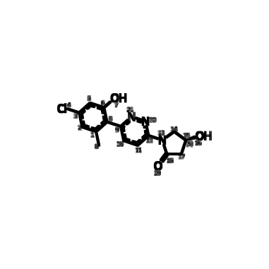 Cc1cc(Cl)cc(O)c1-c1ccc(N2C[C@@H](O)CC2=O)nn1